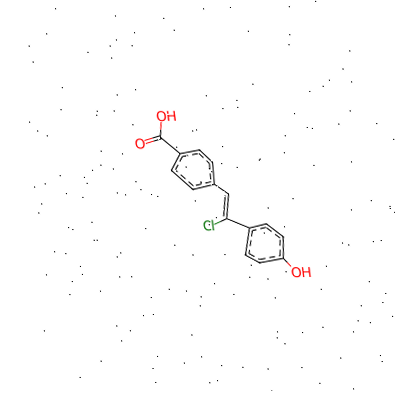 O=C(O)c1ccc(C=C(Cl)c2ccc(O)cc2)cc1